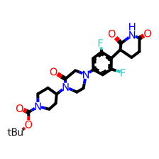 CC(C)(C)OC(=O)N1CCC(N2CCN(c3cc(F)c(C4CCC(=O)NC4=O)c(F)c3)CC2=O)CC1